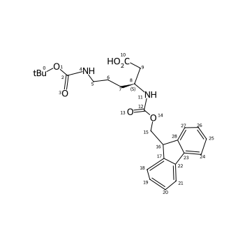 CC(C)(C)OC(=O)NCCC[C@@H](CC(=O)O)NC(=O)OCC1c2ccccc2-c2ccccc21